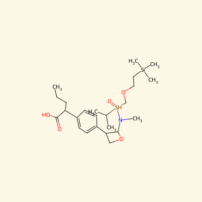 CCCC(C(=O)O)c1ccc(C2COC2N(C)[SH](=O)(COCC[Si](C)(C)C)C(C)C)cc1